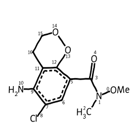 CON(C)C(=O)c1cc(Cl)c(N)c2c1OOCC2